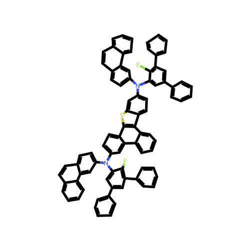 Fc1c(-c2ccccc2)cc(-c2ccccc2)cc1N(c1ccc2c(c1)sc1c3ccc(N(c4ccc5ccc6ccccc6c5c4)c4cc(-c5ccccc5)cc(-c5ccccc5)c4F)cc3c3ccccc3c21)c1ccc2ccc3ccccc3c2c1